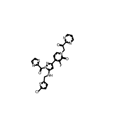 O=C(Cn1ccc(-c2cc(NCc3ccc(Cl)s3)n(C(=O)c3nccs3)n2)c(F)c1=O)c1ncccn1